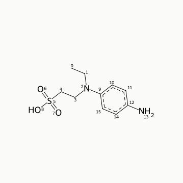 CCN(CCS(=O)(=O)O)c1ccc(N)cc1